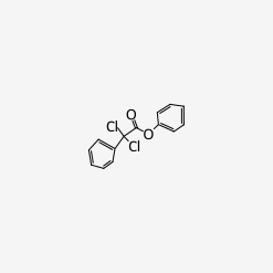 O=C(Oc1ccccc1)C(Cl)(Cl)c1ccccc1